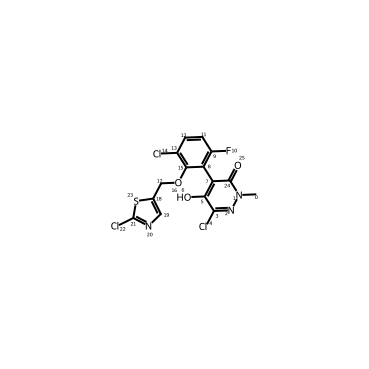 Cn1nc(Cl)c(O)c(-c2c(F)ccc(Cl)c2OCc2cnc(Cl)s2)c1=O